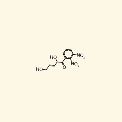 O=C(c1cccc([N+](=O)[O-])c1[N+](=O)[O-])C(O)C=CCO